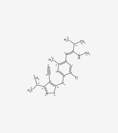 CNC(=Nc1cc(Cl)c(Oc2snc(C(C)C)c2C#N)cc1C)C(C)C